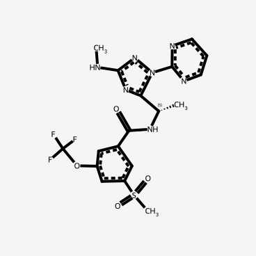 CNc1nc([C@H](C)NC(=O)c2cc(OC(F)(F)F)cc(S(C)(=O)=O)c2)n(-c2ncccn2)n1